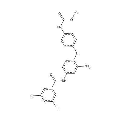 CC(C)(C)OC(=O)Nc1ccc(Oc2ccc(NC(=O)c3cc(Cl)cc(Cl)c3)cc2N)cc1